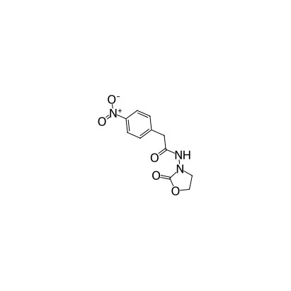 O=C(Cc1ccc([N+](=O)[O-])cc1)NN1CCOC1=O